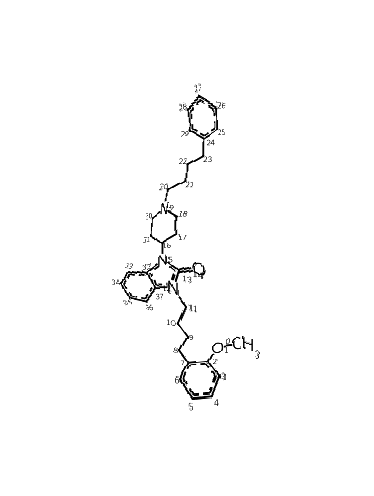 COc1ccccc1CCCCn1c(=O)n(C2CCN(CCCCc3ccccc3)CC2)c2ccccc21